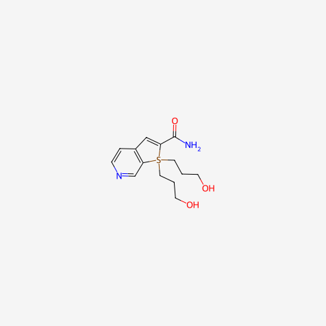 NC(=O)C1=Cc2ccncc2S1(CCCO)CCCO